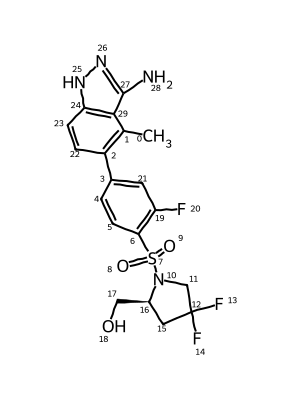 Cc1c(-c2ccc(S(=O)(=O)N3CC(F)(F)C[C@H]3CO)c(F)c2)ccc2[nH]nc(N)c12